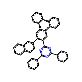 c1ccc(-c2nc(-c3ccccc3)nc(-c3cc4c5ccccc5c5ccccc5c4cc3-c3ccc4ccccc4c3)n2)cc1